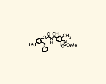 CO[SH](=O)=Nc1ccc([C@@H](C)NC(=O)COc2ccc(C(C)(C)C)cc2CN2CCCCC2)cc1C